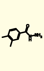 Cc1ccc(C(=O)NN)cc1C